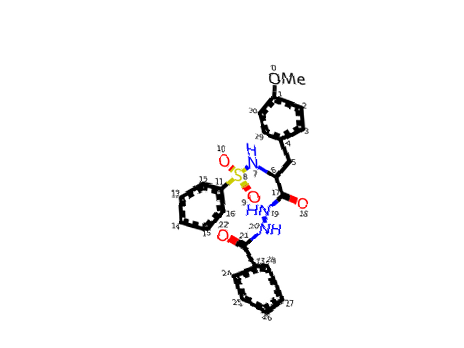 COc1ccc(CC(NS(=O)(=O)c2ccccc2)C(=O)NNC(=O)c2ccccc2)cc1